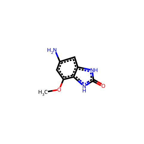 COc1cc(N)cc2[nH]c(=O)[nH]c12